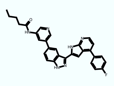 CCCCC(=O)Nc1cncc(-c2ccc3[nH]nc(-c4cc5c(-c6ccc(F)cc6)ccnc5[nH]4)c3c2)c1